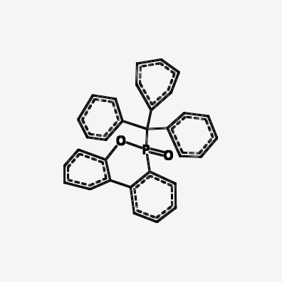 O=P1(C(c2ccccc2)(c2ccccc2)c2ccccc2)Oc2ccccc2-c2ccccc21